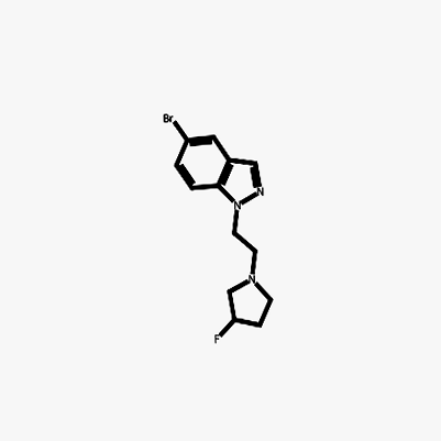 FC1CCN(CCn2ncc3cc(Br)ccc32)C1